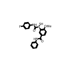 COc1ccc(C(=O)Nc2ccccc2)cc1N(S)C(=O)Nc1ccc(F)cc1